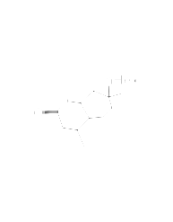 CCCCCCC1(C)CCC2C(C)CC(=O)OC2C1